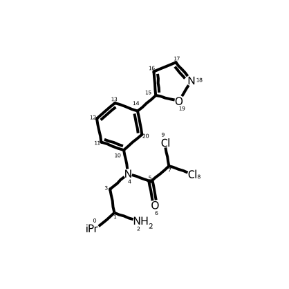 CC(C)C(N)CN(C(=O)C(Cl)Cl)c1cccc(-c2ccno2)c1